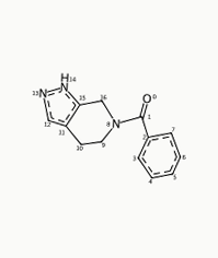 O=C(c1ccccc1)N1CCc2cn[nH]c2C1